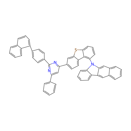 c1ccc(-c2cc(-c3ccc4c(c3)sc3cccc(-n5c6ccccc6c6cc7ccccc7cc65)c34)nc(-c3ccc(-c4cccc5ccccc45)cc3)n2)cc1